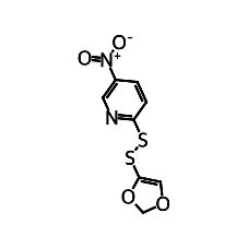 O=[N+]([O-])c1ccc(SSC2=COCO2)nc1